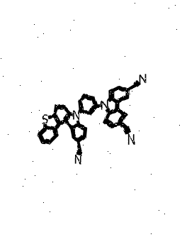 N#Cc1ccc2c(c1)c1cc(C#N)ccc1n2-c1cccc(-n2c3ccc(C#N)cc3c3c4c(ccc32)sc2ccccc24)c1